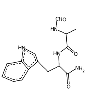 CC(NC=O)C(=O)NC(Cc1c[nH]c2ccccc12)C(N)=O